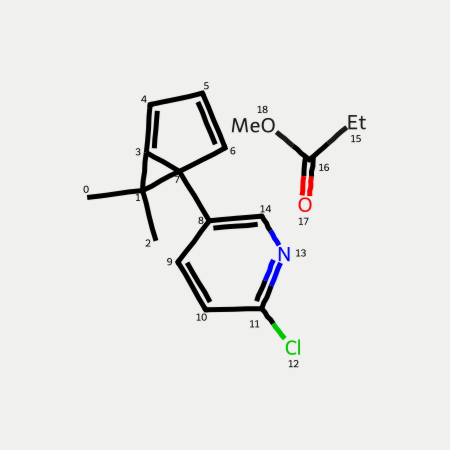 CC1(C)C2=CC=CC21c1ccc(Cl)nc1.CCC(=O)OC